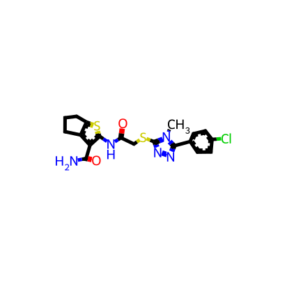 Cn1c(SCC(=O)Nc2sc3c(c2C(N)=O)CCC3)nnc1-c1ccc(Cl)cc1